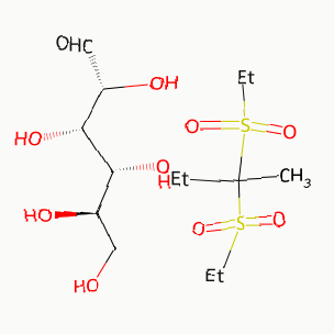 CCC(C)(S(=O)(=O)CC)S(=O)(=O)CC.O=C[C@H](O)[C@@H](O)[C@H](O)[C@H](O)CO